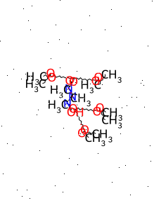 CCCCC(CC)C(=O)OCCCCCCCCCC(CCCCCCCCCOC(=O)C(CC)CCCC)OC(=O)CCN(C)CCCN(C)CCCN(C)CCC(O)OC(CCCCCCCCCOC(=O)C(CC)CCCC)CCCCCCCCCOC(=O)C(CC)CCCC